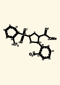 COC(=O)C1CC(S(=O)(=O)c2ccccc2C(F)(F)F)CN1c1ccccc1[N+](=O)[O-]